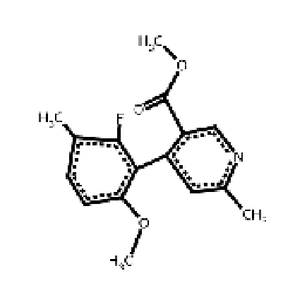 COC(=O)c1cnc(C)cc1-c1c(OC)ccc(C)c1F